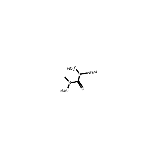 CCCCCN(C(=O)O)C(=O)N(C)OC